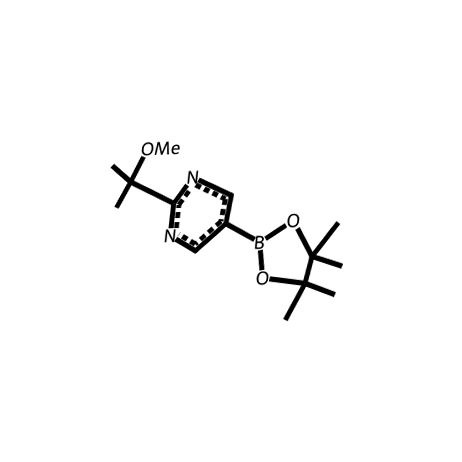 COC(C)(C)c1ncc(B2OC(C)(C)C(C)(C)O2)cn1